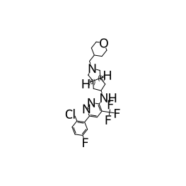 Fc1ccc(Cl)c(-c2cc(C(F)(F)F)c(NC3C[C@@H]4CN(CC5CCOCC5)C[C@@H]4C3)nn2)c1